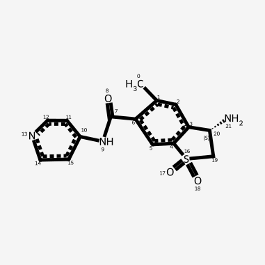 Cc1cc2c(cc1C(=O)Nc1ccncc1)S(=O)(=O)C[C@H]2N